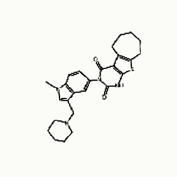 Cn1cc(CN2CCCCC2)c2cc(-n3c(=O)[nH]c4sc5c(c4c3=O)CCCCC5)ccc21